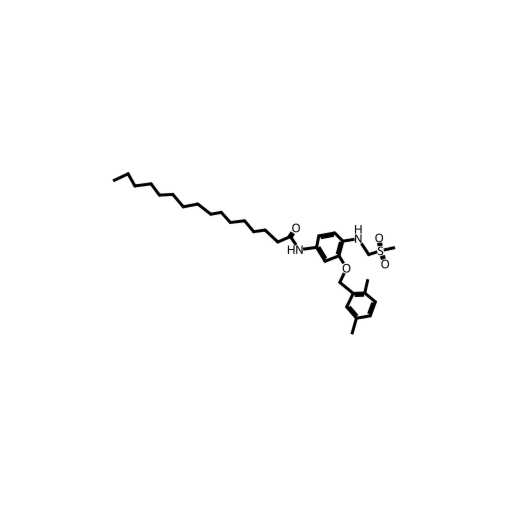 CCCCCCCCCCCCCCCC(=O)Nc1ccc(NCS(C)(=O)=O)c(OCc2cc(C)ccc2C)c1